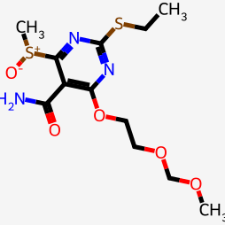 CCSc1nc(OCCOCOC)c(C(N)=O)c([S+](C)[O-])n1